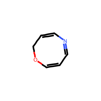 C1=COCC=CN=C1